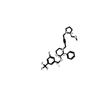 COC[C@@H]1CCCN1CC#CCN1CCO[C@H](O[C@H](C)c2cc(F)cc(C(F)(F)F)c2)[C@@H]1c1ccccc1